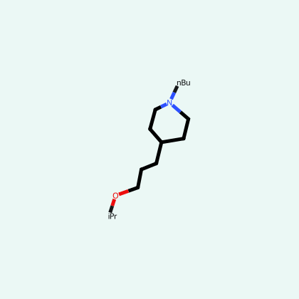 CCCCN1CCC(CCCOC(C)C)CC1